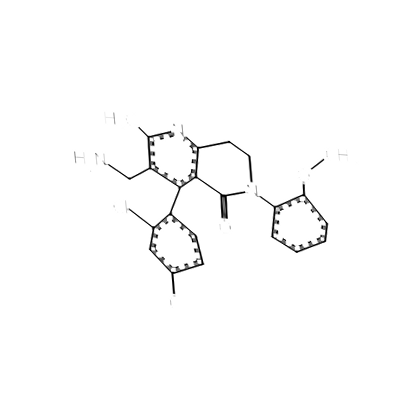 COc1ccccc1N1CCc2nc(C)c(CN)c(-c3ccc(Cl)cc3Cl)c2C1=O